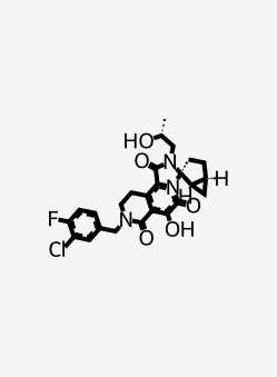 C[C@@H](O)CN1C(=O)c2c3c(c(O)c(=O)n2[C@@]12CC[C@H]1C[C@H]12)C(=O)N(Cc1ccc(F)c(Cl)c1)CC3